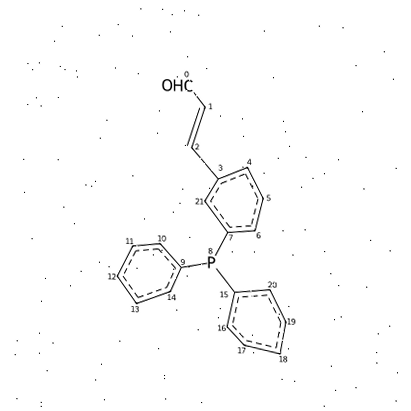 O=CC=Cc1cccc(P(c2ccccc2)c2ccccc2)c1